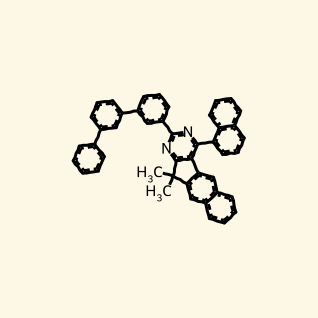 CC1(C)c2cc3ccccc3cc2-c2c(-c3cccc4ccccc34)nc(-c3cccc(-c4cccc(-c5ccccc5)c4)c3)nc21